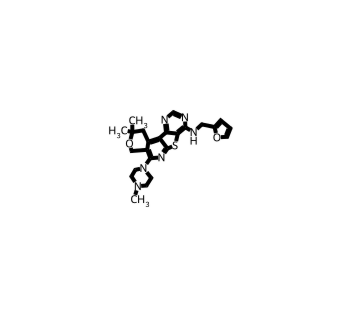 CN1CCN(c2nc3sc4c(NCc5ccco5)ncnc4c3c3c2COC(C)(C)C3)CC1